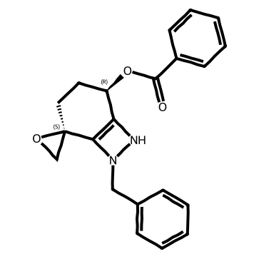 O=C(O[C@@H]1CC[C@@]2(CO2)c2c1[nH]n2Cc1ccccc1)c1ccccc1